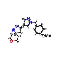 COc1ccc(Cn2cc(C3=CC4(CCOCC4)N=N3)cn2)cc1